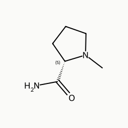 CN1CCC[C@H]1C(N)=O